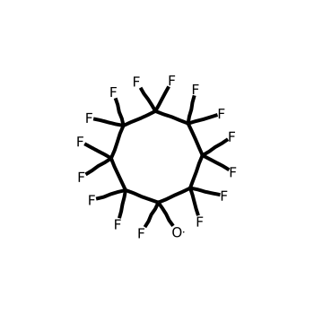 [O]C1(F)C(F)(F)C(F)(F)C(F)(F)C(F)(F)C(F)(F)C(F)(F)C1(F)F